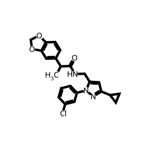 CC(C(=O)NCc1cc(C2CC2)nn1-c1cccc(Cl)c1)c1ccc2c(c1)OCO2